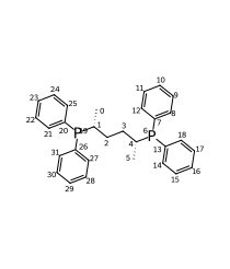 C[C@H](CC[C@@H](C)P(c1ccccc1)c1ccccc1)P(c1ccccc1)c1ccccc1